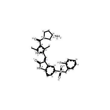 Cc1[nH]c(/C=C2\C(=O)Nc3ccc(S(=O)(=O)Cc4ccccc4F)cc32)c(C)c1C(=O)N1CC[C@H](N)C1